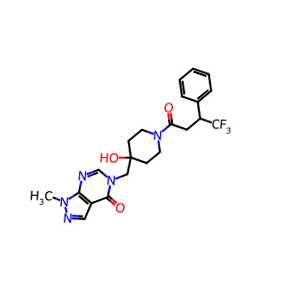 Cn1ncc2c(=O)n(CC3(O)CCN(C(=O)CC(c4ccccc4)C(F)(F)F)CC3)cnc21